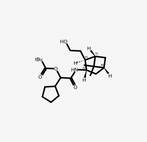 CC(C)(C)C(=O)OC(C(=O)N[C@H]1C[C@H]2C[C@@H]([C@@H]1CCO)C2(C)C)C1CCCC1